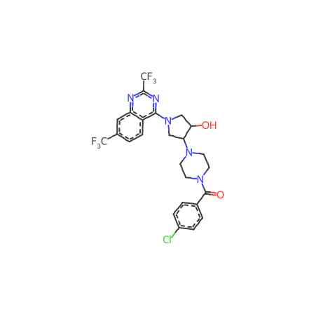 O=C(c1ccc(Cl)cc1)N1CCN(C2CN(c3nc(C(F)(F)F)nc4cc(C(F)(F)F)ccc34)CC2O)CC1